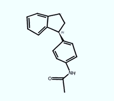 CC(=O)Nc1ccc([C@@H]2C[CH]c3ccccc32)cc1